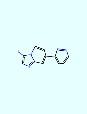 Ic1cnc2cc(-c3cccnc3)ccn12